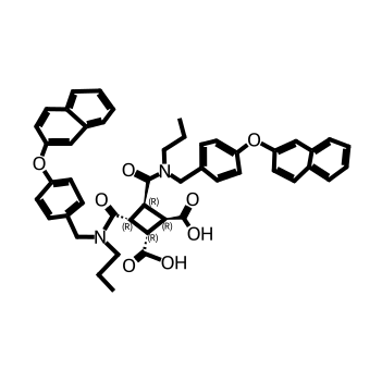 CCCN(Cc1ccc(Oc2ccc3ccccc3c2)cc1)C(=O)[C@H]1[C@@H](C(=O)O)[C@H](C(=O)O)[C@@H]1C(=O)N(CCC)Cc1ccc(Oc2ccc3ccccc3c2)cc1